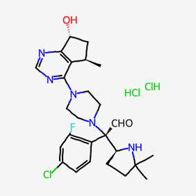 C[C@@H]1C[C@@H](O)c2ncnc(N3CCN([C@@](C=O)(c4ccc(Cl)cc4F)[C@@H]4CCC(C)(C)N4)CC3)c21.Cl.Cl